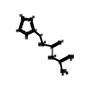 N=C(N)NC(=O)NCc1nn[c]s1